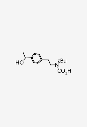 CC(O)c1ccc(CCN(C(=O)O)C(C)(C)C)cc1